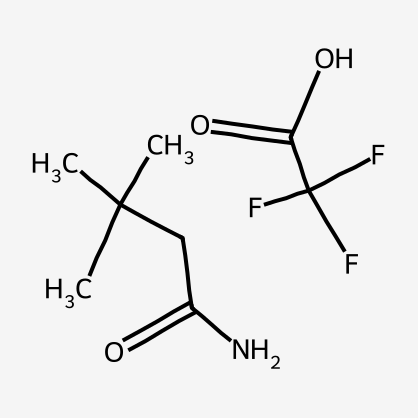 CC(C)(C)CC(N)=O.O=C(O)C(F)(F)F